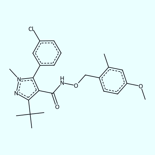 COc1ccc(CONC(=O)c2c(C(C)(C)C)nn(C)c2-c2cccc(Cl)c2)c(C)c1